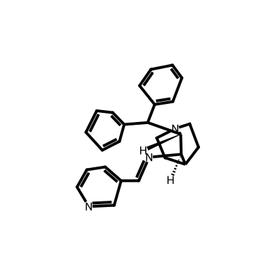 C(=N\[C@@H]1C2CCN(CC2)[C@H]1C(c1ccccc1)c1ccccc1)/c1cccnc1